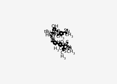 Cc1ncsc1-c1ccc(C(C)NC(=O)[C@@H]2C[C@@H](O)CN2C(=O)C(NC(=O)Cn2cc3ccc(-c4ccc(C5=N[C@@H](CC(=O)O)c6nnc(C)n6-c6sc(C)c(C)c65)cc4)cc3n2)C(C)(C)C)cc1